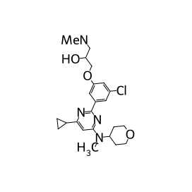 CNCC(O)COc1cc(Cl)cc(-c2nc(C3CC3)cc(N(C)C3CCOCC3)n2)c1